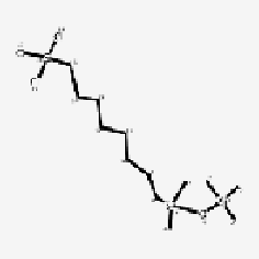 C[Si](C)(C)O[Si](C)(C)CCCCCCCC[Si](Cl)(Cl)Cl